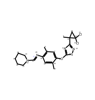 Cc1cc(Oc2nc(C3(C)CC3(Cl)Cl)ns2)c(C)cc1/N=C/N1CCCCC1